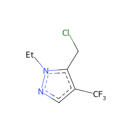 CCn1ncc(C(F)(F)F)c1CCl